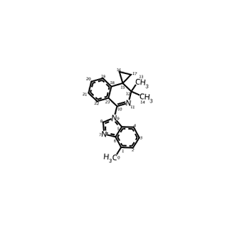 Cc1cccc2c1ncn2C1=NC(C)(C)C2(CC2)c2ccccc21